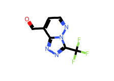 O=Cc1ccnn2c(C(F)(F)F)nnc12